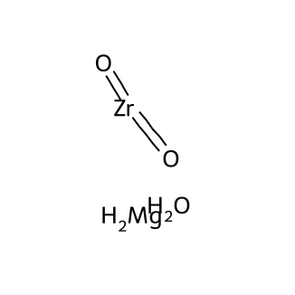 O.[MgH2].[O]=[Zr]=[O]